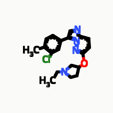 CCN1CCC(Oc2ccc3ncc(-c4ccc(C)c(Cl)c4)n3n2)C1